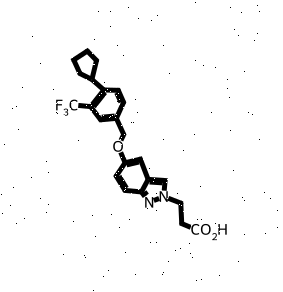 O=C(O)CCn1cc2cc(OCc3ccc(C4CCCC4)c(C(F)(F)F)c3)ccc2n1